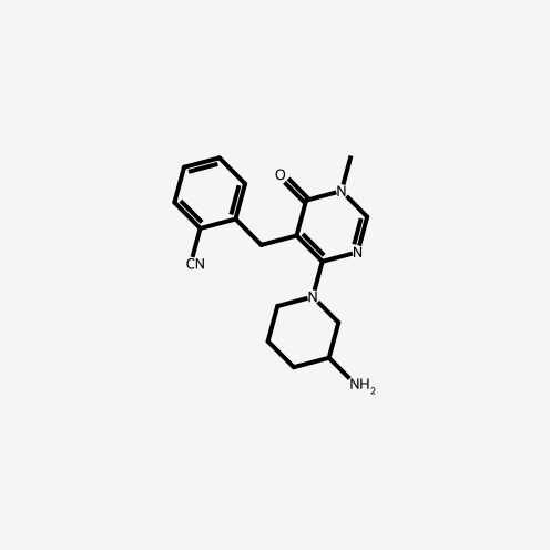 Cn1cnc(N2CCCC(N)C2)c(Cc2ccccc2C#N)c1=O